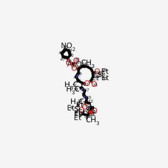 CC[C@H](O[Si](CC)(CC)CC)[C@@H](C)[C@H]1O[C@@H]1C[C@](C)(/C=C/C=C(\C)[C@H]1OC(=O)C[C@H](O[Si](CC)(CC)CC)CC[C@@](C)(OC(C)=O)[C@@H](OC(=O)Oc2ccc([N+](=O)[O-])cc2)/C=C/[C@@H]1C)O[Si](CC)(CC)CC